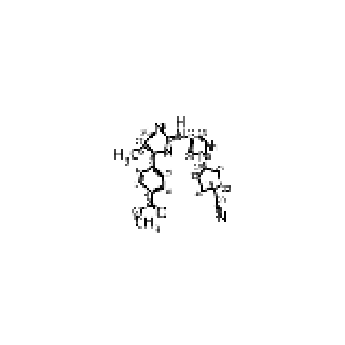 COC(=O)c1ccc(-c2nc(Nc3cnn(C4CCC(C#N)CC4)c3)ncc2C)cc1